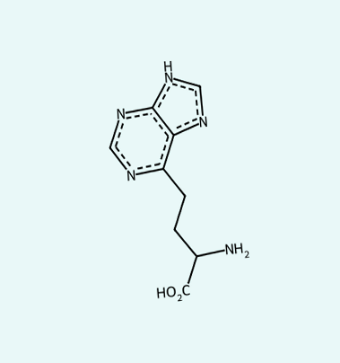 NC(CCc1ncnc2[nH]cnc12)C(=O)O